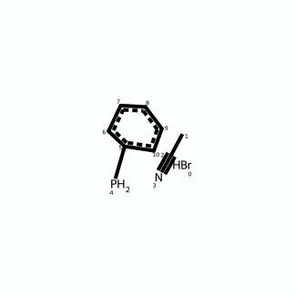 Br.CC#N.Pc1ccccc1